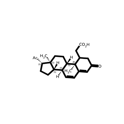 CC(=O)[C@H]1CC[C@H]2[C@@H]3C=CC4=CC(=O)CC(CC(=O)O)[C@]4(C)[C@H]3CC[C@]12C